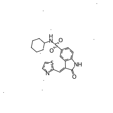 O=C1Nc2ccc(S(=O)(=O)NC3CCCCC3)cc2/C1=C\c1nccs1